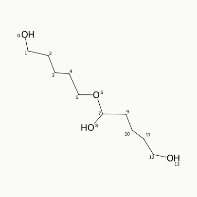 OCCCCCOC(O)CCCCO